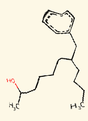 CCCCC(CCCCC(C)O)Cc1ccccc1